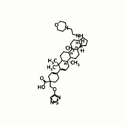 CC1(C)C(C2=CCC(COc3cnsn3)(C(=O)O)CC2)=CC[C@@]2(C)C1CC[C@@]1(C)C3CC[C@@]4(NCCN5CCOCC5)CCC[C@@H]4[C@H]3CCC12